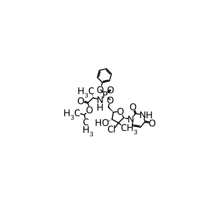 CC(C)OC(=O)[C@H](C)NP(=O)(OC[C@H]1O[C@@H](n2ccc(=O)[nH]c2=O)C(C)(Cl)[C@@H]1O)Oc1ccccc1